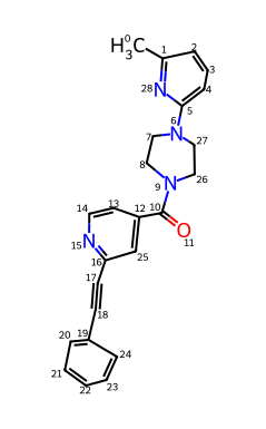 Cc1cccc(N2CCN(C(=O)c3ccnc(C#Cc4ccccc4)c3)CC2)n1